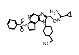 N#CCC1CCC(n2c(CO/N=C(\N)C3CC3)nc3cnc4c(ccn4S(=O)(=O)c4ccccc4)c32)CC1